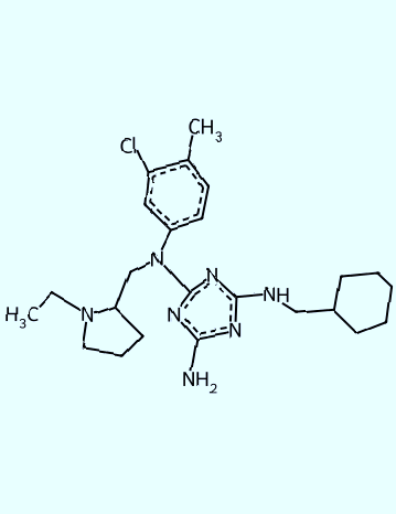 CCN1CCCC1CN(c1ccc(C)c(Cl)c1)c1nc(N)nc(NCC2CCCCC2)n1